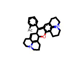 CC(=O)c1ccccc1C1=c2cc3c4c(c2OC2C5=C6C(=CC12)CCCN6CCC5)CCC[N+]=4CCC3